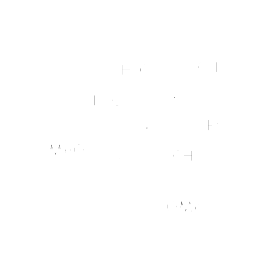 COCC(OC)C(C)(C)C(C)(C)C(C)C